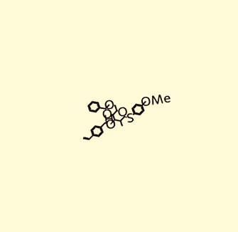 C=Cc1ccc(CO[C@@H]2C(C)[C@H](Sc3ccc(OC)cc3)OC3COC(c4ccccc4)O[C@@H]32)cc1